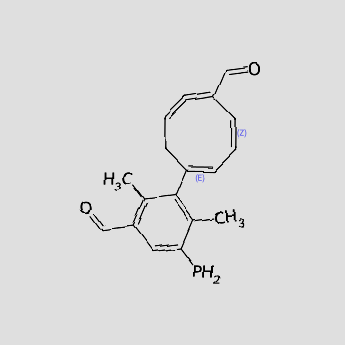 Cc1c(P)cc(C=O)c(C)c1/C1=C/C=C\C(C=O)=C=CC1